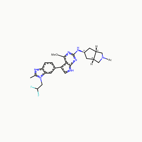 COc1nc(N[C@H]2C[C@@H]3CN(C(C)=O)C[C@@H]3C2)nc2[nH]cc(-c3ccc4nc(C)n(CC(F)F)c4c3)c12